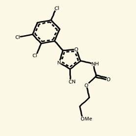 COCCOC(=O)Nc1oc(-c2cc(Cl)cc(Cl)c2Cl)nc1C#N